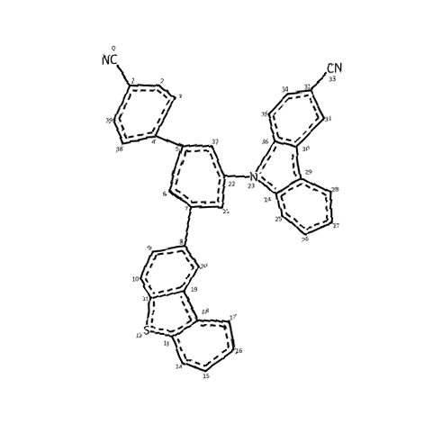 N#Cc1ccc(-c2cc(-c3ccc4sc5ccccc5c4c3)cc(-n3c4ccccc4c4cc(C#N)ccc43)c2)cc1